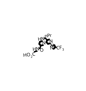 CCCC(Nc1ccc(C(=O)NCCC(=O)O)cn1)c1ccc(-n2cc(C(F)(F)F)cn2)nc1